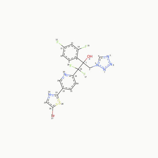 OC(Cn1cnnn1)(c1ccc(F)cc1F)C(F)(F)c1ccc(-c2ncc(Br)s2)cn1